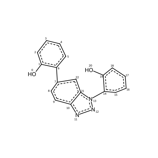 Oc1ccccc1-c1ccc2nnn(-c3ccccc3O)c2c1